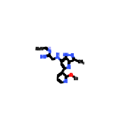 CCOc1ncccc1-c1cc(NCC(=N)/N=C\NC)c2[nH]nc(C)c2n1